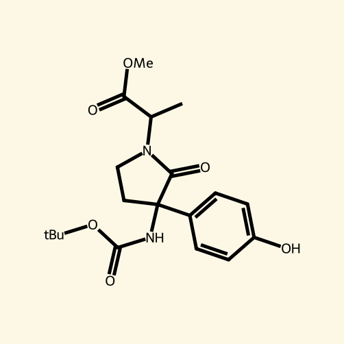 COC(=O)C(C)N1CCC(NC(=O)OC(C)(C)C)(c2ccc(O)cc2)C1=O